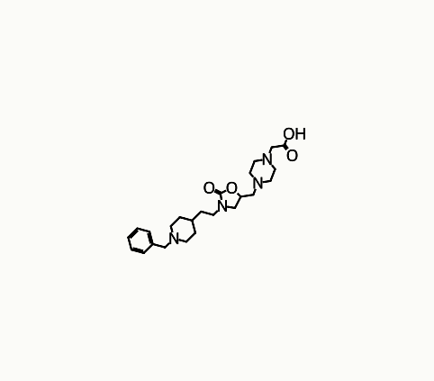 O=C(O)CN1CCN(CC2CN(CCC3CCN(Cc4ccccc4)CC3)C(=O)O2)CC1